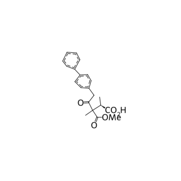 COC(=O)C(C)(C(=O)Cc1ccc(-c2ccccc2)cc1)[C@@H](C)C(=O)O